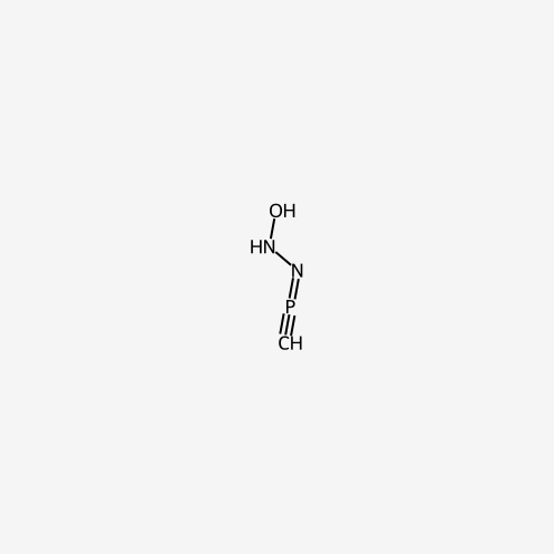 C#P=NNO